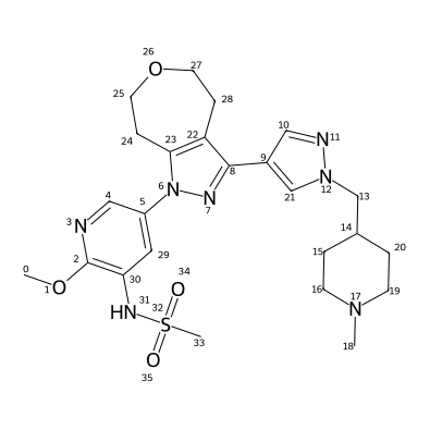 COc1ncc(-n2nc(-c3cnn(CC4CCN(C)CC4)c3)c3c2CCOCC3)cc1NS(C)(=O)=O